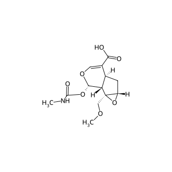 CNC(=O)O[C@@H]1OC=C(C(=O)O)[C@H]2C[C@@H]3O[C@@]3(COC)[C@H]12